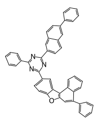 c1ccc(-c2ccc3cc(-c4nc(-c5ccccc5)nc(-c5ccc6oc7cc(-c8ccccc8)c8ccccc8c7c6c5)n4)ccc3c2)cc1